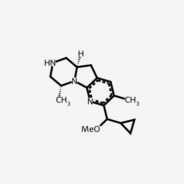 COC(c1nc2c(cc1C)C[C@@H]1CNC[C@@H](C)N21)C1CC1